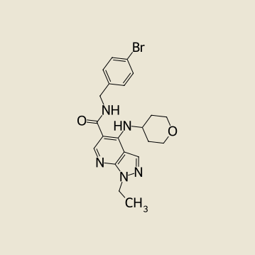 CCn1ncc2c(NC3CCOCC3)c(C(=O)NCc3ccc(Br)cc3)cnc21